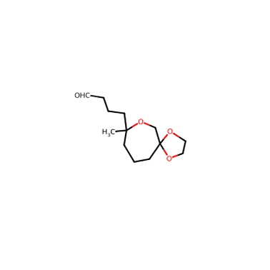 CC1(CCCC=O)CCCC2(CO1)OCCO2